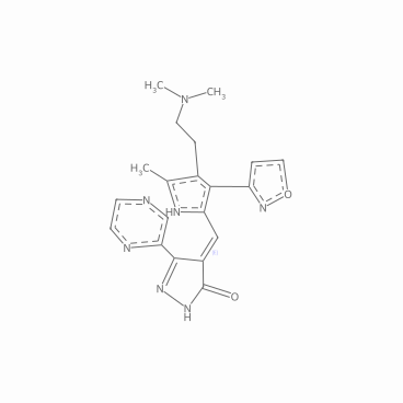 Cc1[nH]c(/C=C2/C(=O)NN=C2c2cnccn2)c(-c2ccon2)c1CCN(C)C